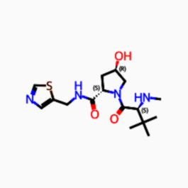 CN[C@H](C(=O)N1C[C@H](O)C[C@H]1C(=O)NCc1cncs1)C(C)(C)C